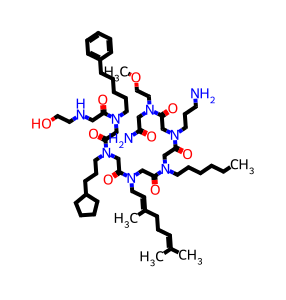 CCCCCCN(CC(=O)N(CCCN)CC(=O)N(CCOC)CC(N)=O)C(=O)CN(C/C=C(\C)CCC=C(C)C)C(=O)CN(CCCC1CCCC1)C(=O)CN(CCCCCc1ccccc1)C(=O)CNCCO